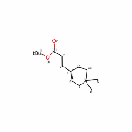 CC1(C)CC=C(CCC(=O)OC(C)(C)C)CC1